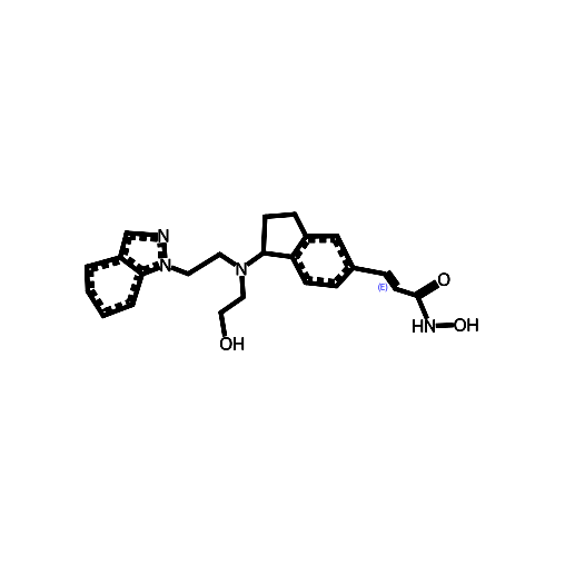 O=C(/C=C/c1ccc2c(c1)CCC2N(CCO)CCn1ncc2ccccc21)NO